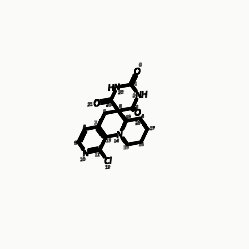 O=C1NC(=O)C2(Cc3ccnc(Cl)c3N3CCCCC32)C(=O)N1